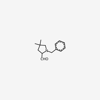 CC1(C)CC(C=O)N(Cc2ccccc2)C1